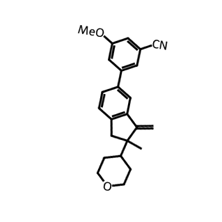 C=C1c2cc(-c3cc(C#N)cc(OC)c3)ccc2CC1(C)C1CCOCC1